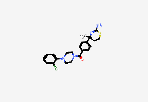 CC1(c2ccc(C(=O)N3CCN(c4ccccc4Cl)CC3)cc2)CCSC(N)=N1